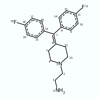 NCCN1CCC(=C(c2ccc(F)cc2)c2ccc(F)cc2)CC1